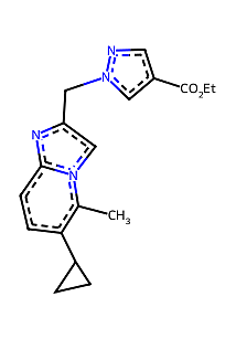 CCOC(=O)c1cnn(Cc2cn3c(C)c(C4CC4)ccc3n2)c1